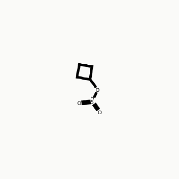 O=[SH](=O)OC1CCC1